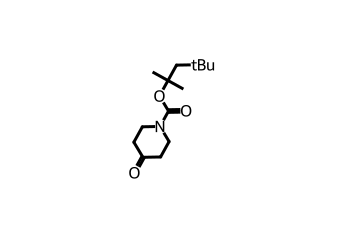 CC(C)(C)CC(C)(C)OC(=O)N1CCC(=O)CC1